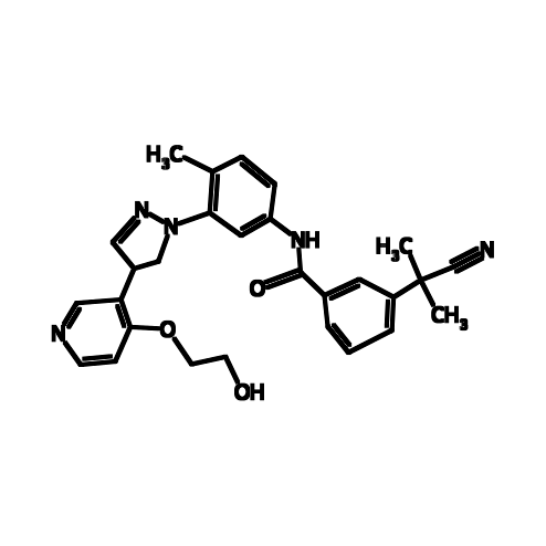 Cc1ccc(NC(=O)c2cccc(C(C)(C)C#N)c2)cc1N1CC(c2cnccc2OCCO)C=N1